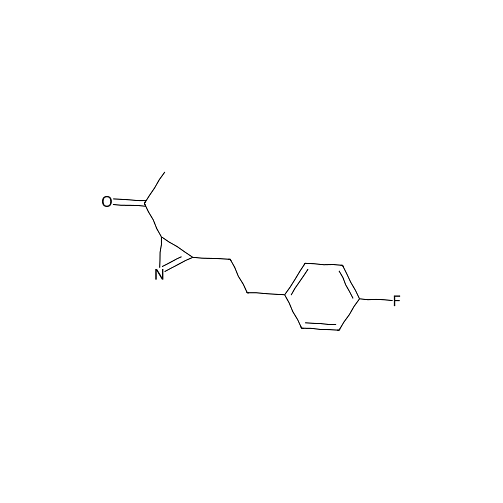 CC(=O)C1N=C1CCc1ccc(F)cc1